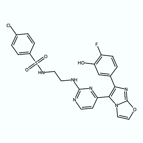 O=S(=O)(NCCNc1nccc(-c2c(-c3ccc(F)c(O)c3)nc3occn23)n1)c1ccc(Cl)cc1